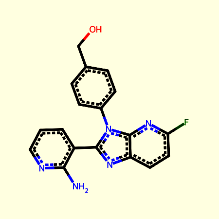 Nc1ncccc1-c1nc2ccc(F)nc2n1-c1ccc(CO)cc1